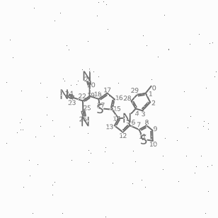 Cc1ccc(-n2c(-c3cccs3)ccc2-c2ccc(C(C#N)=C(C#N)C#N)s2)cc1